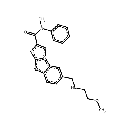 COCCNCc1ccc2nc3sc(C(=O)N(C)c4ccccc4)cn3c2c1